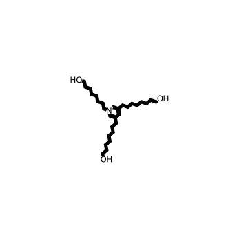 OCCCCCCCCc1cc(CCCCCCCCO)c[n+](CCCCCCCCO)c1